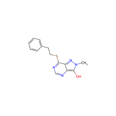 Cn1nc2c(SCCc3ccccc3)ncnc2c1O